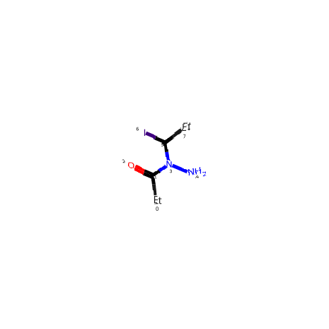 CCC(=O)N(N)C(I)CC